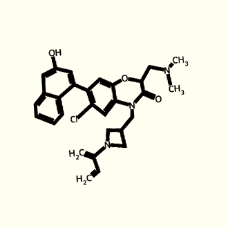 C=CC(=C)N1CC(CN2C(=O)C(CN(C)C)Oc3cc(-c4cc(O)cc5ccccc45)c(Cl)cc32)C1